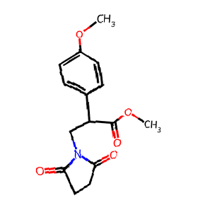 COC(=O)C(CN1C(=O)CCC1=O)c1ccc(OC)cc1